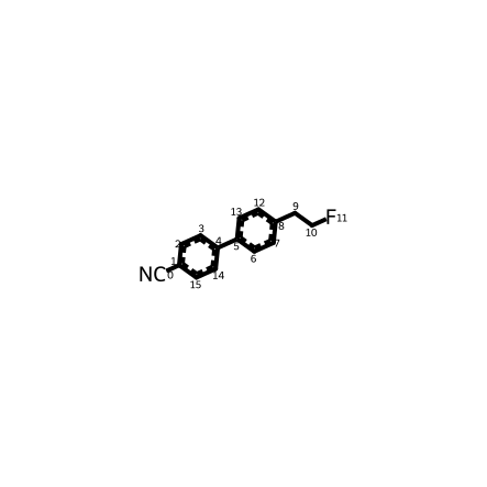 N#Cc1ccc(-c2ccc(CCF)cc2)cc1